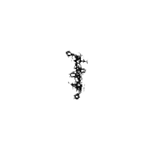 CC1=C(C#N)C(=O)N(C(=O)OCc2ccccc2)C(=O)/C1=C/c1nc2c(s1)C1=C(c3sc(/C=C4/C(=O)N(C(=O)OCc5ccccc5)C(=O)C(C#N)=C4C)nc3C13CCCCC3)C21CCCCC1